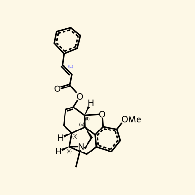 COc1ccc2c3c1O[C@H]1C(OC(=O)/C=C/c4ccccc4)=CC[C@H]4[C@@H](C2)N(C)CC[C@]314